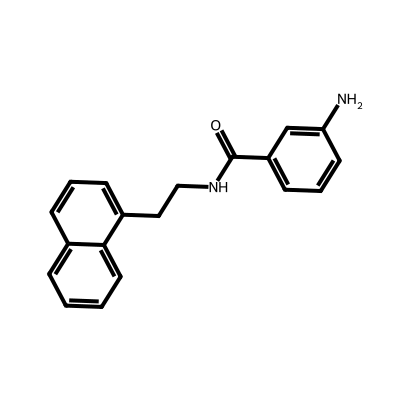 Nc1cccc(C(=O)NCCc2cccc3ccccc23)c1